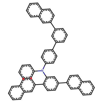 c1ccc(N(c2ccc(-c3cccc(-c4ccc5ccccc5c4)c3)cc2)c2cc(-c3ccc4ccccc4c3)ccc2-c2ccc3ccccc3c2)cc1